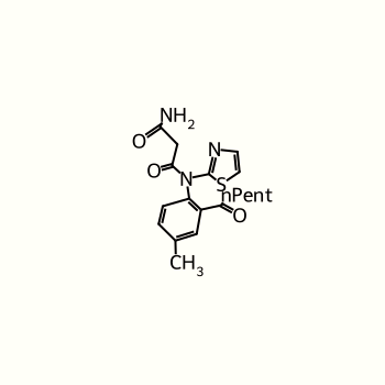 CCCCCC(=O)c1cc(C)ccc1N(C(=O)CC(N)=O)c1nccs1